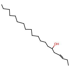 CC/C=C/CC(O)CCCCCCCCCCCCCC